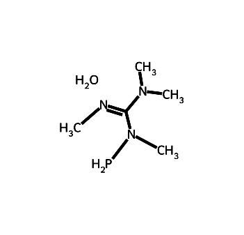 CN=C(N(C)C)N(C)P.O